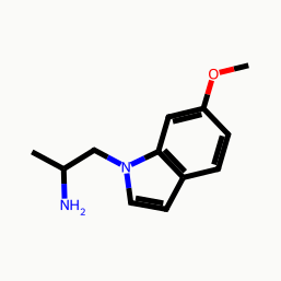 COc1ccc2ccn(CC(C)N)c2c1